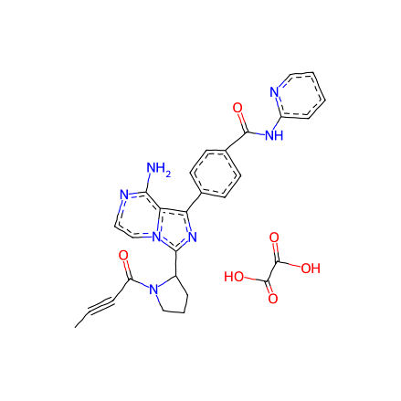 CC#CC(=O)N1CCCC1c1nc(-c2ccc(C(=O)Nc3ccccn3)cc2)c2c(N)nccn12.O=C(O)C(=O)O